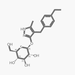 CCc1ccc(Cc2c(O[C@@H]3S[C@H](CO)[C@@H](O)[C@H](O)[C@H]3O)n[nH]c2C)cc1